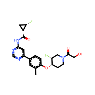 Cc1cc(-c2cc(NC(=O)[C@@H]3C[C@@H]3F)ncn2)ccc1O[C@H]1CCN(C(=O)CO)C[C@H]1F